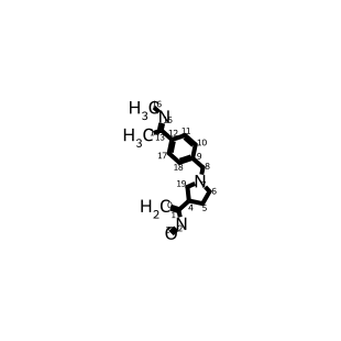 C=C(N=O)C1CCN(Cc2ccc(/C(C)=N/C)cc2)C1